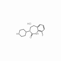 Cl.O=C1Nc2c(F)cccc2CCN1C1CCNCC1